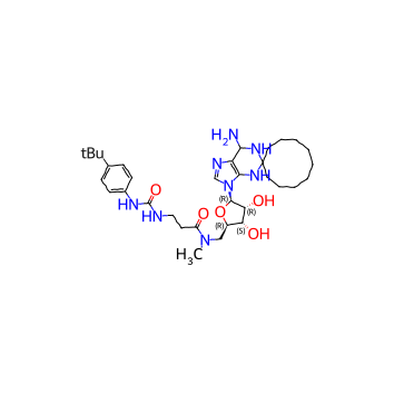 CN(C[C@H]1O[C@@H](n2cnc3c2NC2(CCCCCCCCC2)NC3N)[C@H](O)[C@@H]1O)C(=O)CCNC(=O)Nc1ccc(C(C)(C)C)cc1